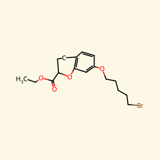 CCOC(=O)C1CCc2ccc(OCCCCCBr)cc2O1